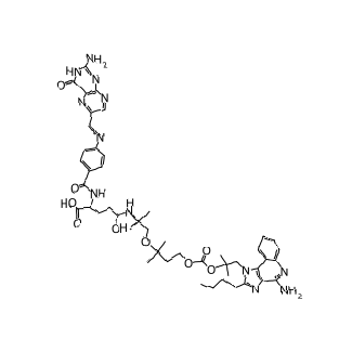 CCCCc1nc2c(N)nc3ccccc3c2n1CC(C)(C)OC(=O)OCCC(C)(C)OCC(C)(C)NC(O)CCC(NC(=O)c1ccc(/N=C/c2cnc3nc(N)[nH]c(=O)c3n2)cc1)C(=O)O